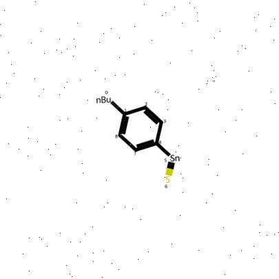 CCCCc1cc[c]([Sn]=[S])cc1